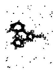 Cc1nc[c]cc1-c1sc(N)nc1-c1ccco1